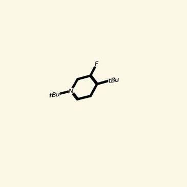 CC(C)(C)C1CCN(C(C)(C)C)CC1F